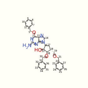 Nc1nc(OCc2ccccc2)c2ncn([C@@H]3C[C@H](COCc4ccccc4)[C@@H](OCc4ccccc4)[C@H]3O)c2n1